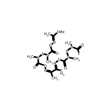 CSC(C)=NOC(=O)N(C)SN(C)C(=O)ON=C(C)C(C)=NOC(=O)N(C)SN(C)C(=O)F